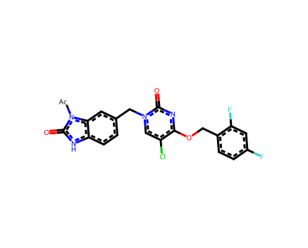 CC(=O)n1c(=O)[nH]c2ccc(Cn3cc(Cl)c(OCc4ccc(F)cc4F)nc3=O)cc21